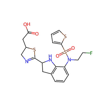 O=C(O)CC1CN=C(C2Cc3cccc(N(CCF)S(=O)(=O)c4cccs4)c3N2)S1